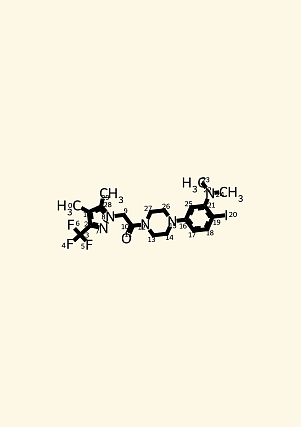 Cc1c(C(F)(F)F)nn(CC(=O)N2CCN(c3ccc(I)c(N(C)C)c3)CC2)c1C